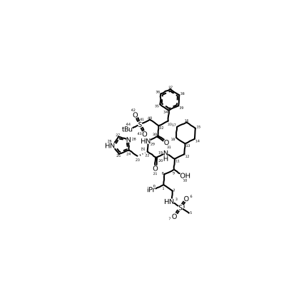 CC(C)C(CNS(C)(=O)=O)CC(O)C(CC1CCCCC1)NC(=O)[C@H](Cc1c[nH]cn1)NC(=O)C(Cc1ccccc1)CS(=O)(=O)C(C)(C)C